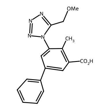 COCc1nnnn1-c1cc(-c2ccccc2)cc(C(=O)O)c1C